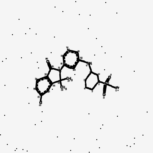 CC(C)S(=O)(=O)N1CCCC(Nc2cncc(N3C(=O)c4ccc(Cl)cc4C3(C)C)c2)C1